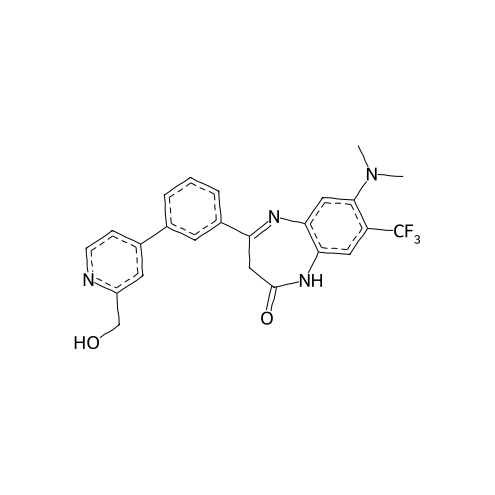 CN(C)c1cc2c(cc1C(F)(F)F)NC(=O)CC(c1cccc(-c3ccnc(CO)c3)c1)=N2